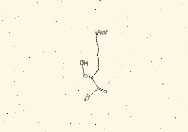 CCCCCCCCCC(=O)CC.CO